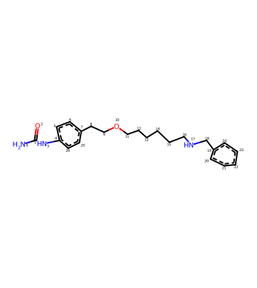 NC(=O)Nc1ccc(CCOCCCCCCNCc2ccccc2)cc1